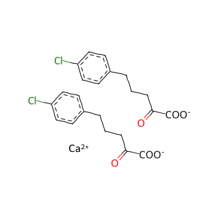 O=C([O-])C(=O)CCCc1ccc(Cl)cc1.O=C([O-])C(=O)CCCc1ccc(Cl)cc1.[Ca+2]